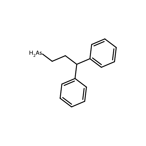 [AsH2]CCC(c1ccccc1)c1ccccc1